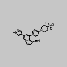 Cn1cc(-c2cc(-c3ccc(N4CCC(S(=O)(=O)Cl)CC4)nc3)c3c(C#N)cnn3c2)cn1